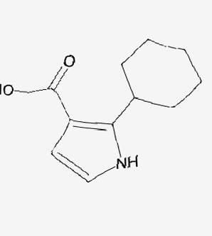 O=C(O)c1cc[nH]c1C1CCCCC1